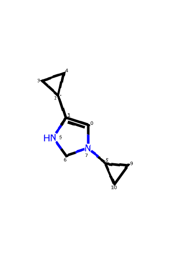 C1=C([C]2CC2)NCN1C1CC1